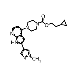 Cn1cc(-c2cc3c(N4CCN(C(=O)OCCC5CC5)CC4)ccnc3[nH]2)cn1